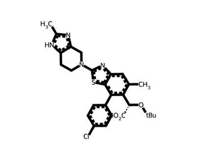 Cc1nc2c([nH]1)CCN(c1nc3cc(C)c([C@H](OC(C)(C)C)C(=O)O)c(-c4ccc(Cl)cc4)c3s1)C2